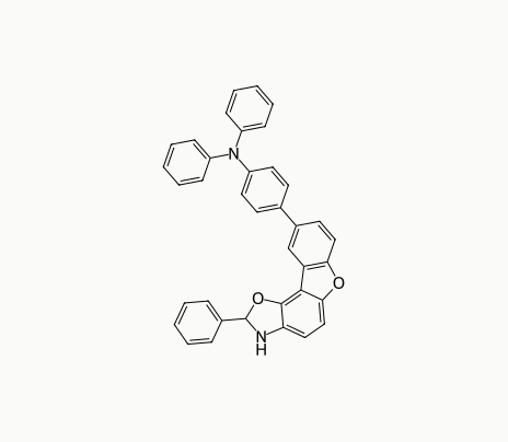 c1ccc(C2Nc3ccc4oc5ccc(-c6ccc(N(c7ccccc7)c7ccccc7)cc6)cc5c4c3O2)cc1